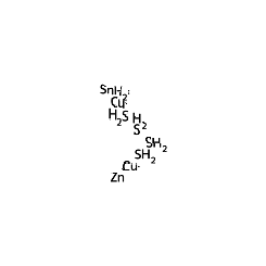 S.S.S.S.[Cu].[Cu].[SnH2].[Zn]